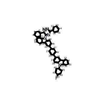 N=C(/N=C(\[C@H](N)c1ccccc1)n1c2ccccc2c2cc(-c3ccc(-c4ccc5c(c4)c4ccccc4n5-c4ccc(F)cc4)cc3)ccc21)c1ccccc1